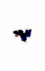 C=CC(=O)N1CCCC(c2cc(Nc3ccn(C)n3)c3ncnn3c2)C1